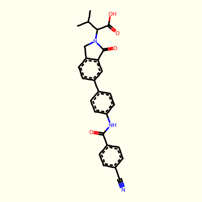 CC(C)C(C(=O)O)N1Cc2ccc(-c3ccc(NC(=O)c4ccc(C#N)cc4)cc3)cc2C1=O